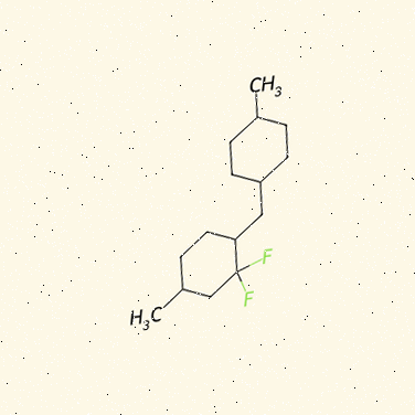 CC1CCC(CC2CCC(C)CC2(F)F)CC1